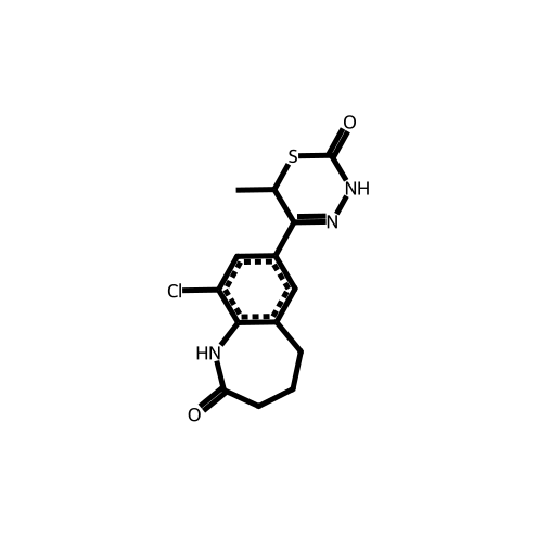 CC1SC(=O)NN=C1c1cc(Cl)c2c(c1)CCCC(=O)N2